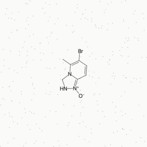 CC1=C(Br)C=CC2=[N+]([O-])NCN12